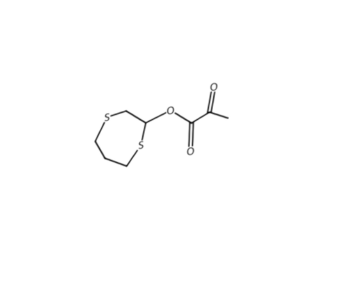 CC(=O)C(=O)OC1CSCCCS1